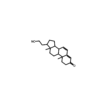 CC12CCC(=O)C=C1C=CC1C2CCC2(C)C(CCC#N)CCC12